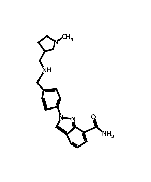 CN1CCC(CNCc2ccc(-n3cc4cccc(C(N)=O)c4n3)cc2)C1